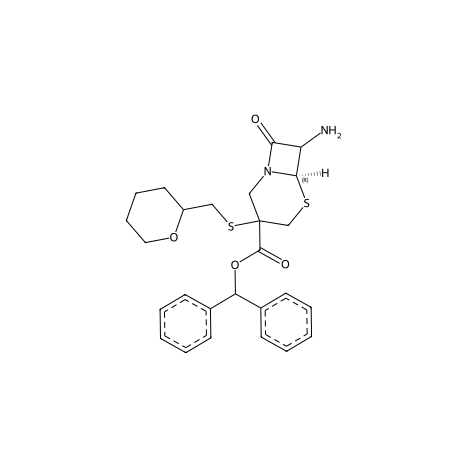 NC1C(=O)N2CC(SCC3CCCCO3)(C(=O)OC(c3ccccc3)c3ccccc3)CS[C@H]12